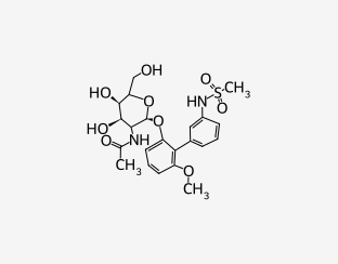 COc1cccc(O[C@@H]2OC(CO)[C@H](O)[C@H](O)C2NC(C)=O)c1-c1cccc(NS(C)(=O)=O)c1